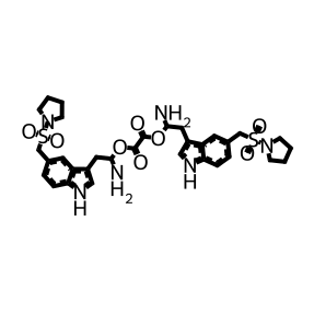 NC(Cc1c[nH]c2ccc(CS(=O)(=O)N3CCCC3)cc12)OC(=O)C(=O)OC(N)Cc1c[nH]c2ccc(CS(=O)(=O)N3CCCC3)cc12